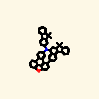 CC1(C)c2ccccc2-c2ccc(N(c3ccc4c(c3)C(C)(C)c3ccccc3-4)c3ccc4c(c3)c3c(-c5ccccc5)ccc5oc6cccc4c6c53)cc21